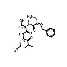 CC(C)C(=O)[C@H](CCN)NC(=O)[C@@H](NC(=O)[C@H](CN)OCc1ccccc1)[C@H](C)O